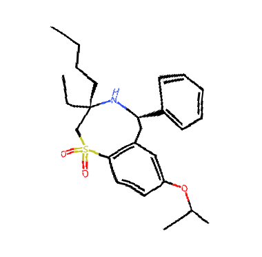 CCCC[C@]1(CC)CS(=O)(=O)c2ccc(OC(C)C)cc2[C@H](c2ccccc2)N1